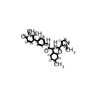 Cc1c(-c2ccc(NC(=O)[C@@H](NC(=O)c3ccnn3C)C3CCC(C)CC3)cc2)ccc(=O)n1C